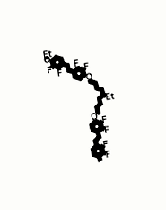 CCOc1ccc(CCc2ccc(OCCCCC(CC)CCCCOc3ccc(CCc4ccc(C)c(F)c4F)c(F)c3F)c(F)c2F)c(F)c1F